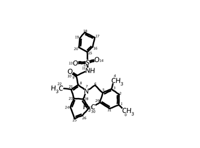 Cc1cc(C)c(Cn2c(C(=O)NS(=O)(=O)c3ccccc3)c(C)c3ccccc32)c(C)c1